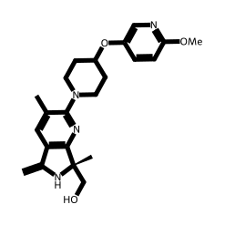 C=C1N[C@@](C)(CO)c2nc(N3CCC(Oc4ccc(OC)nc4)CC3)c(C)cc21